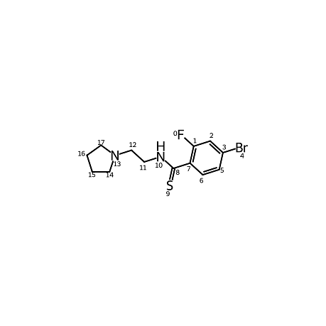 Fc1cc(Br)ccc1C(=S)NCCN1CCCC1